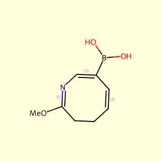 CO/C1=N/C=C(B(O)O)\C=C/CC1